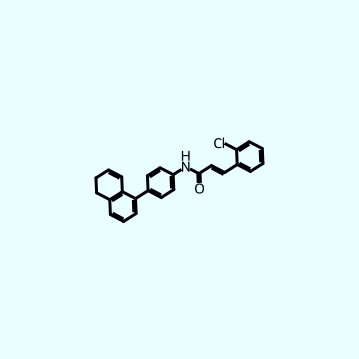 O=C(C=Cc1ccccc1Cl)Nc1ccc(-c2cccc3c2C=CCC3)cc1